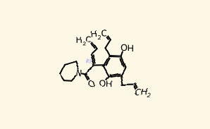 C=C/C=C(/C(=O)N1CCCCC1)c1c(O)c(CC=C)cc(O)c1CC=C